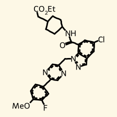 CCOC(=O)CC1CCC(NC(=O)c2cc(Cl)cc3cnn(Cc4cnc(-c5ccc(OC)c(F)c5)cn4)c23)CC1